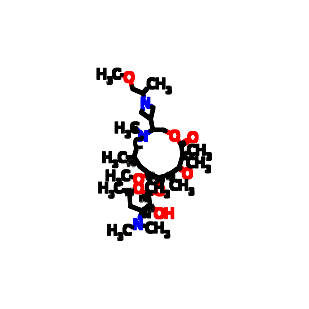 COCC(C)N1CC(C2COC(=O)C(C)(C)C(=O)[C@H](C)[C@@H](O[C@@H]3O[C@H](C)C[C@H](N(C)C)[C@H]3O)[C@](C)(OC)C[C@@H](C)CN2C)C1